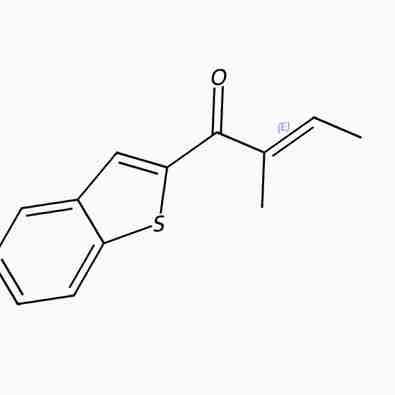 C/C=C(\C)C(=O)c1cc2ccccc2s1